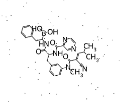 CC(C)C=C(C#N)C(=O)N(C)c1cccc(CC(NC(=O)c2cnccn2)C(=O)NC(Cc2ccccc2)B(O)O)c1